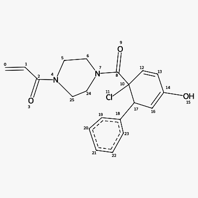 C=CC(=O)N1CCN(C(=O)C2(Cl)C=CC(O)=CC2c2ccccc2)CC1